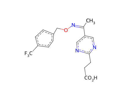 CC(=NOCc1ccc(C(F)(F)F)cc1)c1cnc(CCC(=O)O)nc1